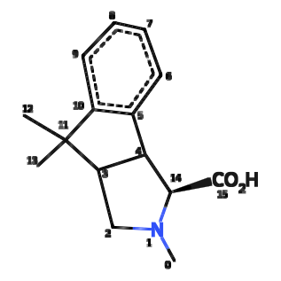 CN1CC2C(c3ccccc3C2(C)C)[C@H]1C(=O)O